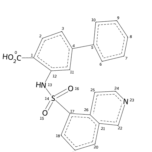 O=C(O)c1ccc(-c2ccccc2)cc1NS(=O)(=O)c1cccc2cnccc12